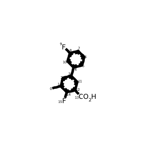 Cc1cc(-c2cccc(F)c2)cc(C(=O)O)c1F